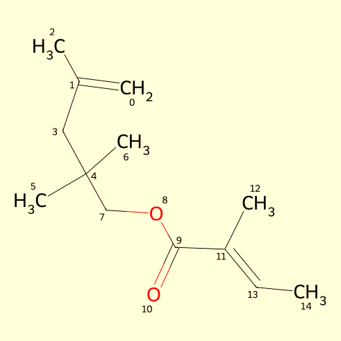 C=C(C)CC(C)(C)COC(=O)/C(C)=C/C